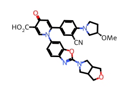 CO[C@@H]1CCN(c2ccc(-c3cc(=O)c(C(=O)O)cn3-c3ccc4nc(N5CC6COCC6C5)oc4c3)cc2C#N)C1